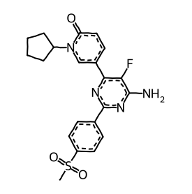 CS(=O)(=O)c1ccc(-c2nc(N)c(F)c(-c3ccc(=O)n(C4CCCC4)c3)n2)cc1